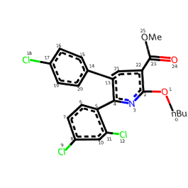 CCCCOc1nc(-c2ccc(Cl)cc2Cl)c(-c2ccc(Cl)cc2)cc1C(=O)OC